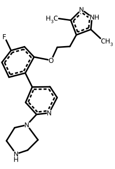 Cc1n[nH]c(C)c1CCOc1cc(F)ccc1-c1ccnc(N2CCNCC2)c1